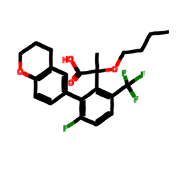 CCCCOC(C)(C(=O)O)c1c(C(F)(F)F)ccc(F)c1-c1ccc2c(c1)CCCO2